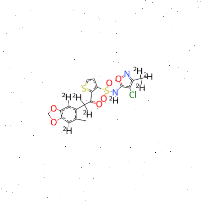 [2H]c1c(C)c(C([2H])([2H])C(=O)c2sccc2S(=O)(=O)N([2H])c2onc(C([2H])([2H])[2H])c2Cl)c([2H])c2c1OCO2